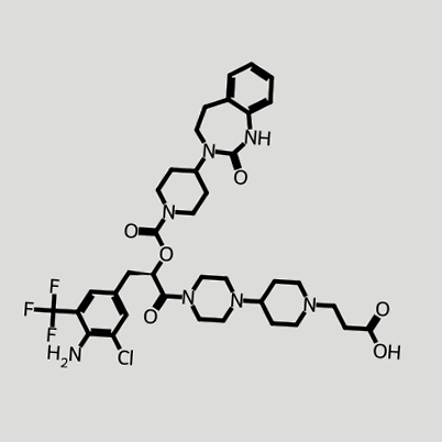 Nc1c(Cl)cc(C[C@@H](OC(=O)N2CCC(N3CCc4ccccc4NC3=O)CC2)C(=O)N2CCN(C3CCN(CCC(=O)O)CC3)CC2)cc1C(F)(F)F